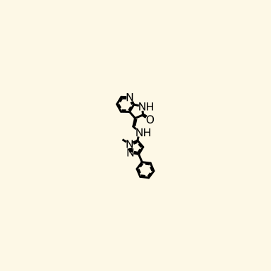 Cn1nc(-c2ccccc2)cc1NC=C1C(=O)Nc2ncccc21